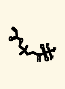 C=CC(=O)OCC(C)(C)CCNS(=O)(=O)C(F)(F)F